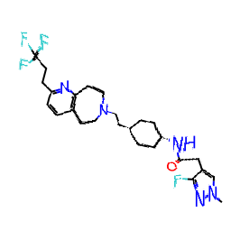 Cn1cc(CC(=O)N[C@H]2CC[C@H](CCN3CCc4ccc(CCC(F)(F)F)nc4CC3)CC2)c(F)n1